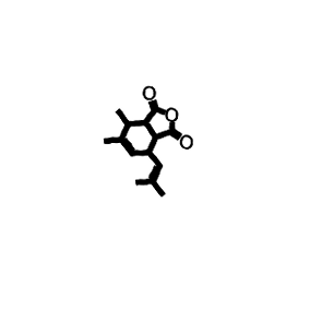 CC(C)=CC1C=C(C)C(C)C2C(=O)OC(=O)C12